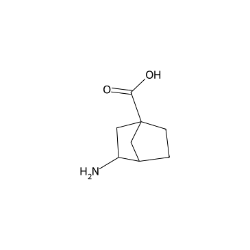 NC1CC2(C(=O)O)CCC1C2